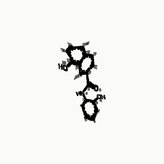 O=C(Nc1ccccc1O)c1ccc2cccc(O)c2n1